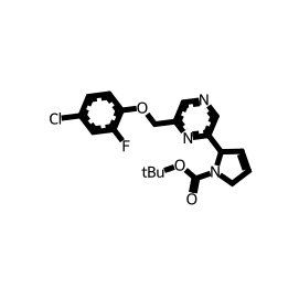 CC(C)(C)OC(=O)N1CC=CC1c1cncc(COc2ccc(Cl)cc2F)n1